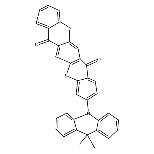 CC1(C)c2ccccc2N(c2ccc3c(=O)c4cc5sc6ccccc6c(=O)c5cc4sc3c2)c2ccccc21